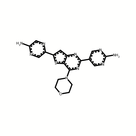 Nc1cnc(-c2cc3nc(-c4cnc(N)nc4)nc(N4CCOCC4)c3s2)cn1